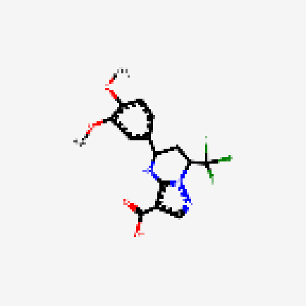 COc1ccc(C2CC(C(F)(F)F)n3ncc(C(=O)O)c3N2)cc1OC